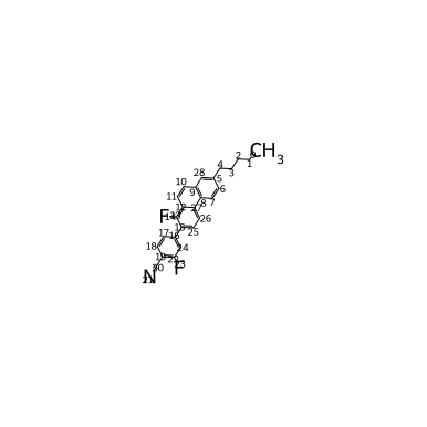 CCCCCc1ccc2c(ccc3c(F)c(-c4ccc(C#N)c(F)c4)ccc32)c1